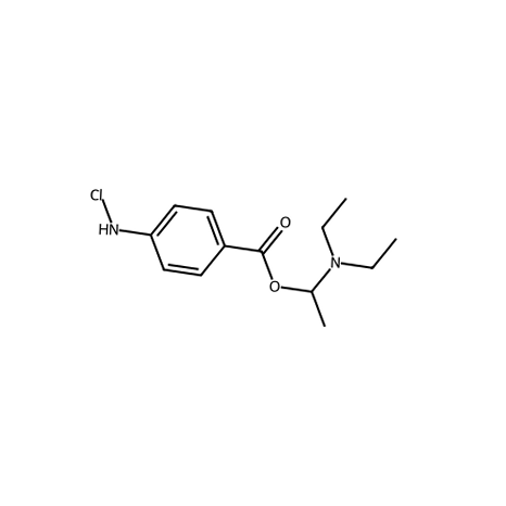 CCN(CC)C(C)OC(=O)c1ccc(NCl)cc1